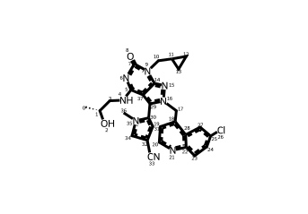 C[C@@H](O)CNc1nc(=O)n(CC2CC2)c2nn(Cc3ccnc4ccc(Cl)cc34)c(-c3cc(C#N)cn3C)c12